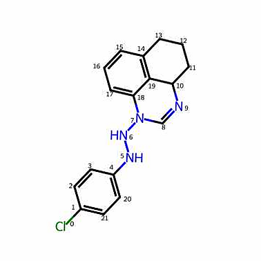 Clc1ccc(NNN2C=NC3CCCc4cccc2c43)cc1